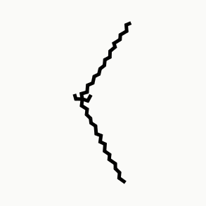 CCCCCCCCCCCCCCCCCCC(CC)(CC)CCCCCCCCCCCCCCCCCC